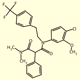 COc1cc(N(CCc2ccc(C(F)(F)F)cc2)C(=O)C(C(=O)N(C)C)c2ccccc2)ccc1Cl